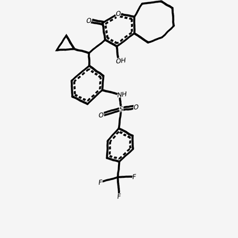 O=c1oc2c(c(O)c1C(c1cccc(NS(=O)(=O)c3ccc(C(F)(F)F)cc3)c1)C1CC1)CCCCCC2